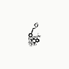 [2H]C([2H])([2H])N1C(=O)c2cccc(OC(F)F)c2[C@H]2C[C@@H]1c1nc3ccc(C#CCCN4CCOCC4)cc3n12